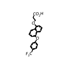 O=C(O)CCOc1cccc2c(Oc3ccc(C(F)(F)F)cc3)cccc12